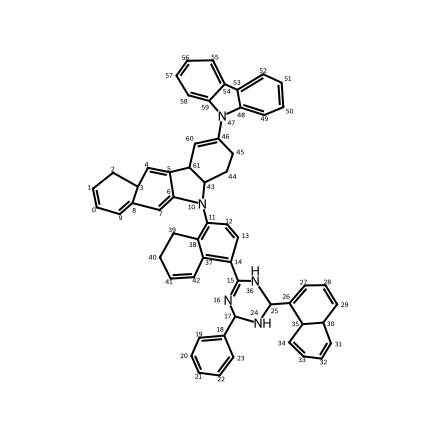 C1=CCC2C=C3C(=CC2=C1)N(c1ccc(C2=NC(c4ccccc4)NC(C4=CC=CC5C=CC=CC45)N2)c2c1CCC=C2)C1CCC(n2c4ccccc4c4ccccc42)=CC31